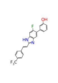 Oc1cccc(-c2cc3nc(C=Cc4ccc(C(F)(F)F)cc4)[nH]c3cc2F)c1